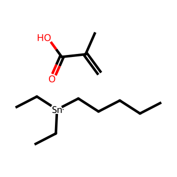 C=C(C)C(=O)O.CCCC[CH2][Sn]([CH2]C)[CH2]C